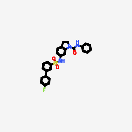 O=C(Nc1ccccc1)N1CCc2ccc(NS(=O)(=O)c3cccc(-c4ccc(F)cc4)c3)cc21